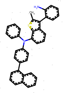 Cc1sc2c(N(c3ccccc3)c3ccc(-c4cccc5ccccc45)cc3)cccc2c1-c1ccccc1N